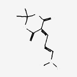 CCN(/C=C/C=C1C(=O)OC(C)(C)OC1=O)CC